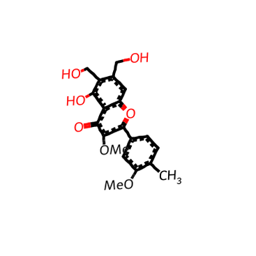 COc1cc(-c2oc3cc(CO)c(CO)c(O)c3c(=O)c2OC)ccc1C